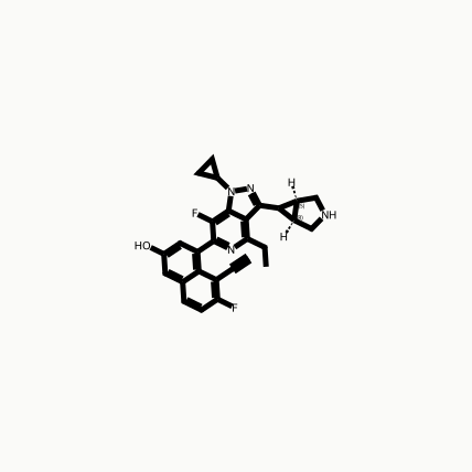 C#Cc1c(F)ccc2cc(O)cc(-c3nc(CC)c4c(C5[C@H]6CNC[C@@H]56)nn(C5CC5)c4c3F)c12